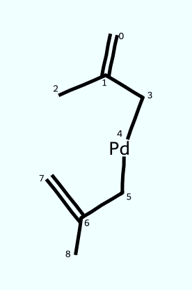 C=C(C)[CH2][Pd][CH2]C(=C)C